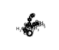 CCN(c1cc(-c2ccc(CN3CCOCC3)cc2)cc(C(=O)NCC2C(C)CC(C)N(C3CCCCCCCCCC3)C2C)c1C)C1CCN(C(=O)C(C)(C)C)CC1